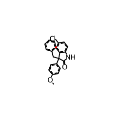 COc1ccc(C2(Cc3ccccc3)C(=O)Nc3ccc(Cl)cc32)cc1